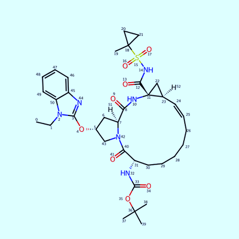 CCn1c(O[C@@H]2C[C@H]3C(=O)N[C@]4(C(=O)NS(=O)(=O)C5(C)CC5)C[C@H]4/C=C\CCCCC[C@H](NC(=O)OC(C)(C)C)C(=O)N3C2)nc2ccccc21